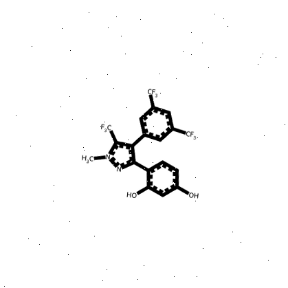 Cn1nc(-c2ccc(O)cc2O)c(-c2cc(C(F)(F)F)cc(C(F)(F)F)c2)c1C(F)(F)F